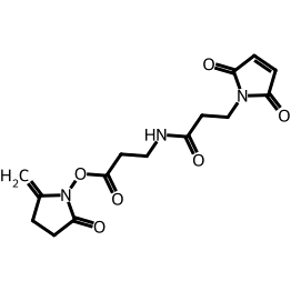 C=C1CCC(=O)N1OC(=O)CCNC(=O)CCN1C(=O)C=CC1=O